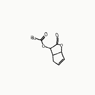 CCC(C)C(=O)OC1C(=O)OC2C=CCC21